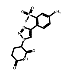 Nc1ccc(-c2cn(C3CCC(=O)NC3=O)nn2)c(S(=O)(=O)F)c1